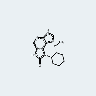 CO[C@@H]1CCCC[C@@H]1n1c(=O)[nH]c2cnc3[nH]ccc3c21